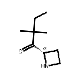 CCC(C)(C)C(=O)[C@@H]1CCN1